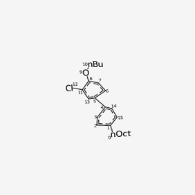 CCCCCCCCc1ccc(-c2ccc(OCCCC)c(Cl)c2)cc1